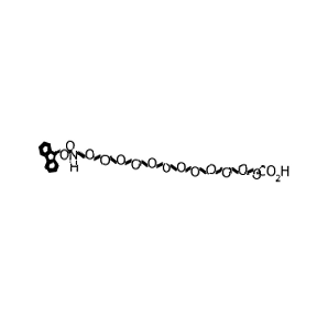 O=C(O)OCCOCCOCCOCCOCCOCCOCCOCCOCCOCCOCCOCCNC(=O)OCC1c2ccccc2-c2ccccc21